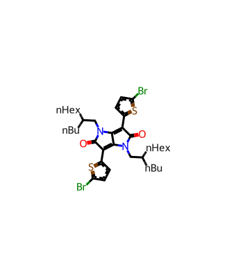 CCCCCCC(CCCC)CN1C(=O)C(c2ccc(Br)s2)=C2C1=C(c1ccc(Br)s1)C(=O)N2CC(CCCC)CCCCCC